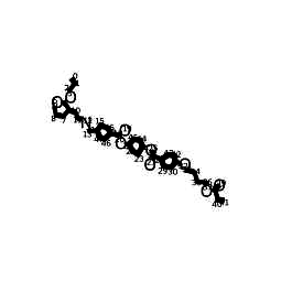 C=CCOC(=O)C(/C=C\C)=C/C=N/Cc1ccc(C(=O)Oc2ccc(OC(=O)c3ccc(OCCCCOC(=O)C=C)cc3)cc2)cc1